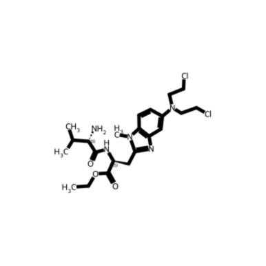 CCOC(=O)[C@H](Cc1nc2cc(N(CCCl)CCCl)ccc2n1C)NC(=O)[C@@H](N)C(C)C